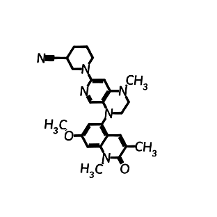 COc1cc(N2CCN(C)c3cc(N4CCCC(C#N)C4)ncc32)c2cc(C)c(=O)n(C)c2c1